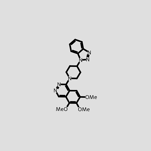 COc1cc2c(N3CCC(n4nnc5ccccc54)CC3)nncc2c(OC)c1OC